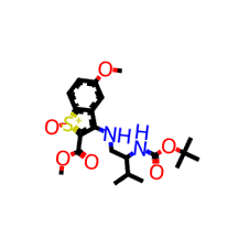 COC(=O)c1c(NCC(NC(=O)OC(C)(C)C)C(C)C)c2cc(OC)ccc2[s+]1[O-]